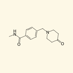 CNC(=O)c1ccc(CN2CCC(=O)CC2)cc1